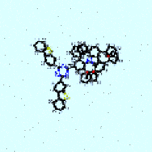 c1ccc(-c2cc(-c3nc(-c4ccc5c(c4)sc4ccccc45)nc(-c4ccc5c(c4)sc4ccccc45)n3)cc(-c3ccccc3)c2-n2c3c(-c4ccccc4)ccc(-c4ccccc4)c3c3c(-c4ccccc4)ccc(-c4ccccc4)c32)cc1